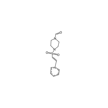 O=CN1CCN(S(=O)(=O)C=Cc2ccccc2)CC1